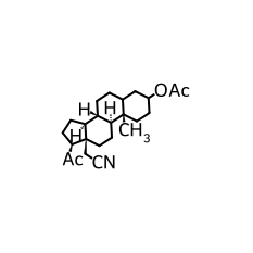 CC(=O)OC1CC[C@@]2(C)C(CC[C@H]3[C@@H]4CC[C@H](C(C)=O)[C@@]4(CC#N)CC[C@@H]32)C1